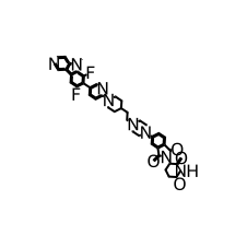 Cn1c2ccncc2c2cc(F)c(-c3ccc(N4CCC(CCN5CCN(c6ccc7c(c6)C(=O)N(C6CCC(=O)NC6=O)C7=O)CC5)CC4)nc3)c(F)c21